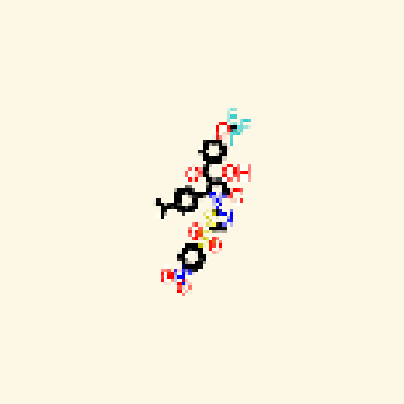 CC(C)c1ccc(C2C(C(=O)c3ccc(OC(F)(F)F)cc3)=C(O)C(=O)N2c2ncc(S(=O)(=O)c3ccc([N+](=O)[O-])cc3)s2)cc1